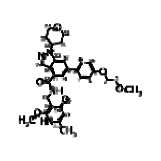 COCCOc1ccc(-c2cc(C(=O)NCc3c(OC)[nH]c(C)cc3=O)c3cnn(C4CCOCC4)c3c2)cc1